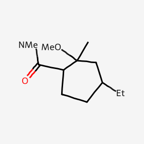 CCC1CCC(C(=O)NC)C(C)(OC)C1